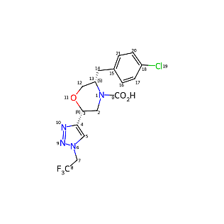 O=C(O)N1C[C@H](c2cn(CC(F)(F)F)nn2)OC[C@@H]1Cc1ccc(Cl)cc1